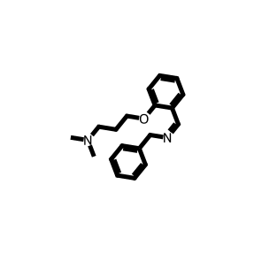 CN(C)CCCOc1ccccc1/C=N\Cc1ccccc1